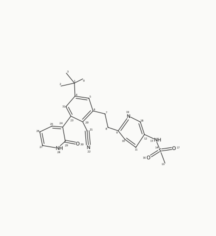 CC(C)(C)c1cc(CCc2ccc(NS(C)(=O)=O)cn2)c(C#N)c(-c2ccc[nH]c2=O)c1